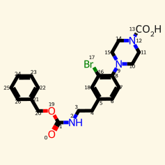 O=C(NCCc1ccc(N2CCN(C(=O)O)CC2)c(Br)c1)OCc1ccccc1